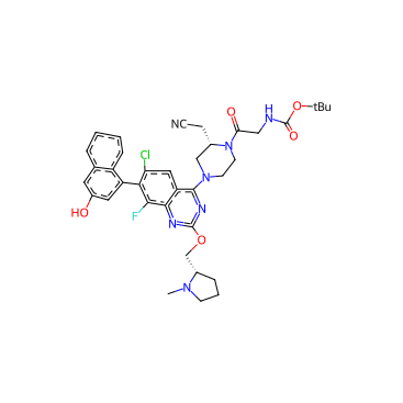 CN1CCC[C@H]1COc1nc(N2CCN(C(=O)CNC(=O)OC(C)(C)C)[C@@H](CC#N)C2)c2cc(Cl)c(-c3cc(O)cc4ccccc34)c(F)c2n1